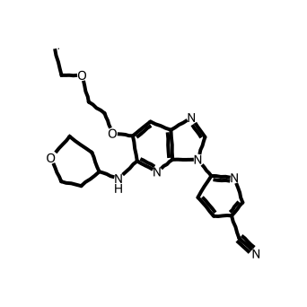 [CH2]COCCOc1cc2ncn(-c3ccc(C#N)cn3)c2nc1NC1CCOCC1